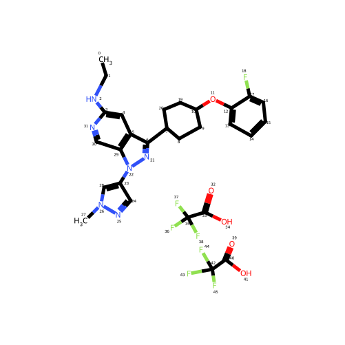 CCNc1cc2c(C3CCC(Oc4ccccc4F)CC3)nn(-c3cnn(C)c3)c2cn1.O=C(O)C(F)(F)F.O=C(O)C(F)(F)F